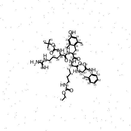 CCOC(=O)NCCCC[C@H](NC(=O)[C@H](Cc1c(C)cc(O)cc1C)NC(=O)[C@@H](CCCNC(=N)N)NC(=O)OC(C)(C)C)C(=O)N[C@@H](Cc1ccccc1)C(N)=O